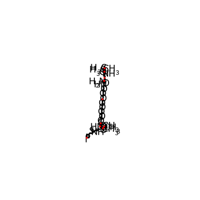 CC(C)(C)OC(=O)NCCCC[C@H](N)C(=O)NCCOCCOCCOCCOCCOCCOCCOCCOCCC(=O)N[C@@H](CCCCNC(=S)CCc1ccc(I)cc1)C(=O)OC(C)(C)C